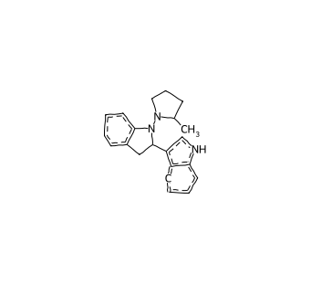 CC1CCCN1N1c2ccccc2CC1c1c[nH]c2ccccc12